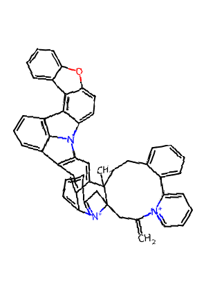 C=C1CC23Cc4cccc([n+]42)-c2cc4c5cccc6c7c8c(ccc7n(c4cc2C3(C)CCc2ccccc2-c2cccc[n+]21)c56)oc1ccccc18